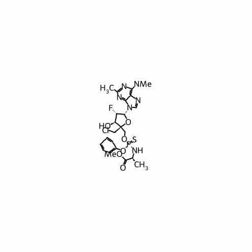 CNc1nc(C)nc2c1ncn2[C@@H]1O[C@](CCl)(CO[P@](=S)(N[C@@H](C)C(=O)OC)Oc2ccccc2)[C@@H](O)[C@@H]1F